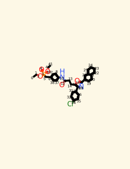 CCOP(=O)(Cc1ccc(NC(=O)CCc2oc(-c3ccc4ccccc4c3)nc2-c2ccc(Cl)cc2)cc1)OCC